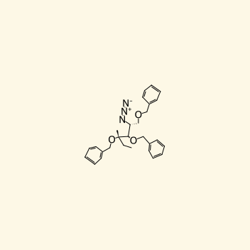 CC[C@](C)(OCc1ccccc1)[C@H](OCc1ccccc1)[C@@H](COCc1ccccc1)N=[N+]=[N-]